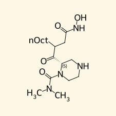 CCCCCCCCC(CC(=O)NO)C(=O)[C@@H]1CNCCN1C(=O)N(C)C